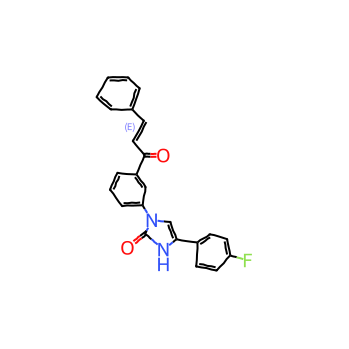 O=C(/C=C/c1ccccc1)c1cccc(-n2cc(-c3ccc(F)cc3)[nH]c2=O)c1